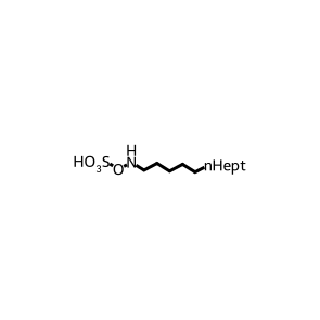 CCCCCCCCCCCCNOS(=O)(=O)O